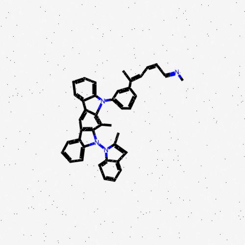 C/N=C/C=C\C=C(/C)c1cccc(-n2c3ccccc3c3cc4c5ccccc5n(-n5c(C)cc6ccccc65)c4c(C)c32)c1